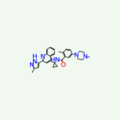 Cc1cc(-c2cc(C3(NC(=O)c4cc(N5CCN(C)CC5)ccc4C)CC3)c3ccccc3n2)[nH]n1